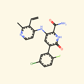 C=Cc1c(Nc2cc(-c3cc(Cl)ccc3F)c(=O)[nH]c2C(N)=O)ccnc1C